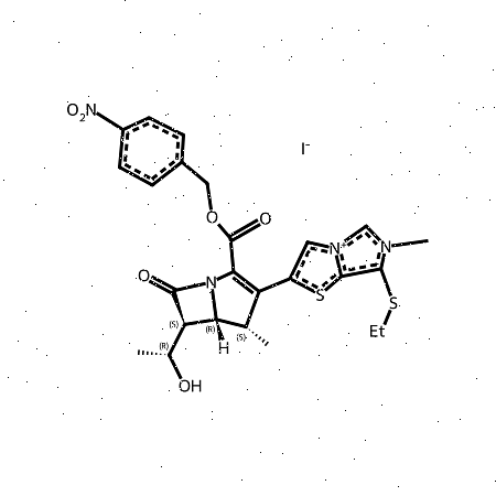 CCSc1c2sc(C3=C(C(=O)OCc4ccc([N+](=O)[O-])cc4)N4C(=O)[C@H]([C@@H](C)O)[C@H]4[C@H]3C)c[n+]2cn1C.[I-]